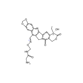 CC[C@@]1(O)C(=O)OCc2c1cc1n(c2=O)Cc2c-1nc1cc3c(cc1c2/C=N/OCNC(=O)CN)OCO3